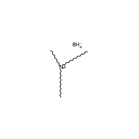 CCCCCCCCCCCCCC[N+](CC)(CCCCCCCCC)CCCCCCCCCCCCCC.[BH4-]